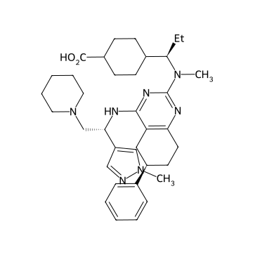 CC[C@H](C1CCC(C(=O)O)CC1)N(C)c1nc2c(c(N[C@@H](CN3CCCCC3)c3cnn(C)c3)n1)C[C@H](c1ccccc1)CC2